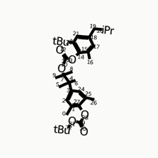 Cc1cc(C(C)(C)C(C)(C)OC(=O)Oc2c(C)cc(CC(C)C)cc2C(C)(C)C)cc(C)c1OC(=O)OC(C)(C)C